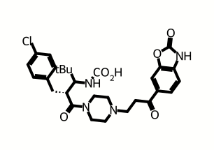 CC(C)(C)C(NC(=O)O)[C@@H](Cc1ccc(Cl)cc1)C(=O)N1CCN(CCC(=O)c2ccc3[nH]c(=O)oc3c2)CC1